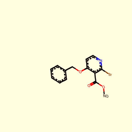 O=NOC(=O)c1c(OCc2ccccc2)ccnc1Br